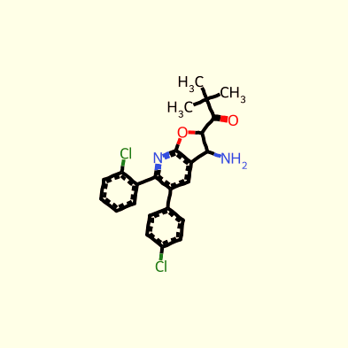 CC(C)(C)C(=O)C1Oc2nc(-c3ccccc3Cl)c(-c3ccc(Cl)cc3)cc2C1N